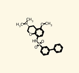 COc1ccc(NS(=O)(=O)c2cccc(-c3ccccc3)c2)c2c1C[C@@H](N(C)C)CO2